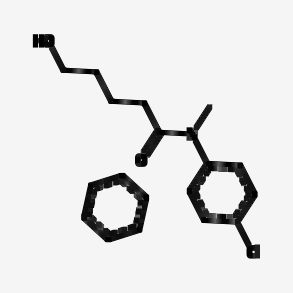 CN(C(=O)CCCCO)c1ccc(Cl)cc1.c1ccccc1